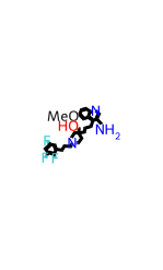 COc1ccc2ncc(CN)c(CCCC3(CO)CCN(CCCc4cc(F)cc(F)c4F)CC3)c2c1